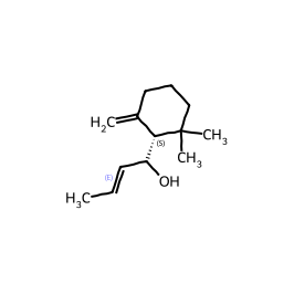 C=C1CCCC(C)(C)[C@@H]1C(O)/C=C/C